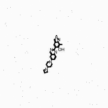 Cc1c(O)c(-c2ncc3cc(N4CCC(N5CCC5)CC4)ccc3n2)cc2cn(C)nc12